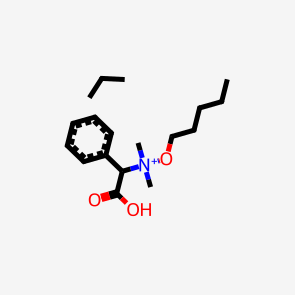 CCC.CCCCCO[N+](C)(C)C(C(=O)O)c1ccccc1